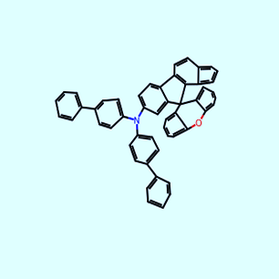 c1ccc(-c2ccc(N(c3ccc(-c4ccccc4)cc3)c3ccc4c(c3)C3(c5ccccc5Oc5ccccc53)c3c-4ccc4ccccc34)cc2)cc1